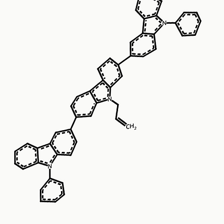 C=CCn1c2cc(-c3ccc4c(c3)c3ccccc3n4-c3ccccc3)ccc2c2ccc(-c3ccc4c(c3)c3ccccc3n4-c3ccccc3)cc21